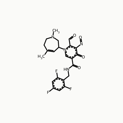 CC1=CC(n2cc(C(=O)NCc3c(F)cc(F)cc3F)c(=O)c(N=O)c2C=O)CN(C)CC1